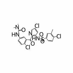 Cc1cc(S(=O)(=O)Nc2cc(Cl)cnc2C(=O)c2cc(NC(=O)N(C)C)ccc2Cl)ccc1Cl